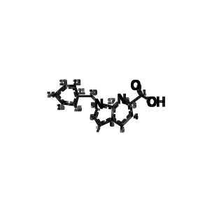 O=C(O)c1ccc2ccn(Cc3ccccc3)c2n1